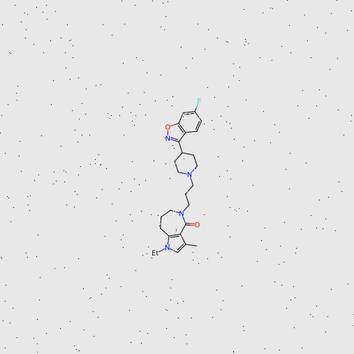 CCn1cc(C)c2c1CCCN(CCCN1CCC(c3noc4cc(F)ccc34)CC1)C2=O